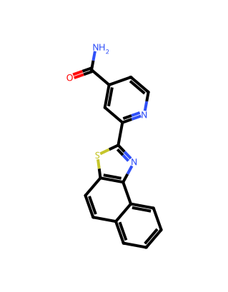 NC(=O)c1ccnc(-c2nc3c(ccc4ccccc43)s2)c1